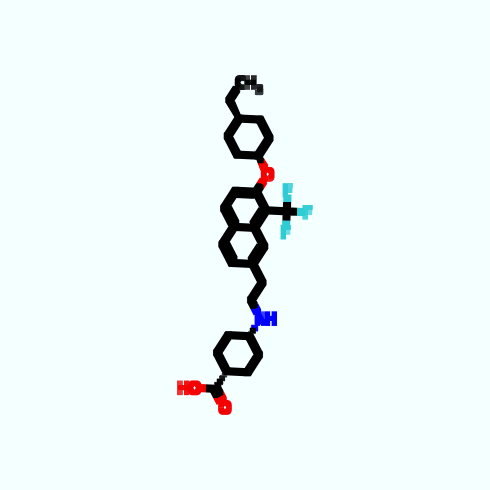 CC[C@H]1CC[C@@H](Oc2ccc3ccc(CCN[C@H]4CC[C@@H](C(=O)O)CC4)cc3c2C(F)(F)F)CC1